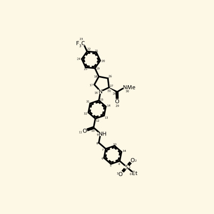 CCS(=O)(=O)c1ccc(CNC(=O)c2ccc(N3CC(c4ccc(C(F)(F)F)cc4)C[C@H]3C(=O)NC)cc2)cc1